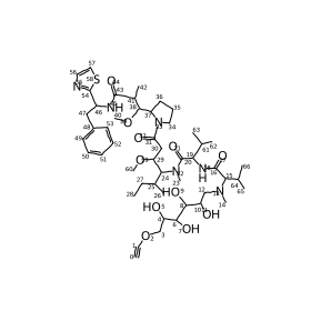 C#COCC(O)C(O)C(O)C(O)CN(C)C(C(=O)NC(C(=O)N(C)C(C(C)CC)C(CC(=O)N1CCCC1C(OC)C(C)C(=O)NC(Cc1ccccc1)c1nccs1)OC)C(C)C)C(C)C